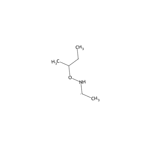 C[CH]NOC(C)CC